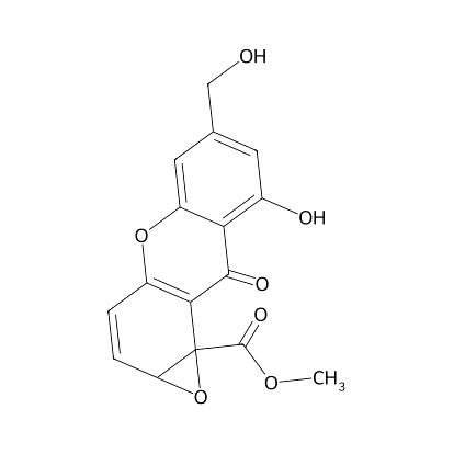 COC(=O)C12OC1C=Cc1oc3cc(CO)cc(O)c3c(=O)c12